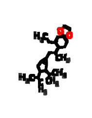 CCC1CC2(CCC1C(C)CC1C3CC(C(C)C)C(C(C)C)C13)OCCO2